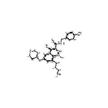 Cn1nc(C(=O)NCc2ccc(Cl)cc2)c(=O)c2cc(CC3CCOCC3)cc(CCCO)c21